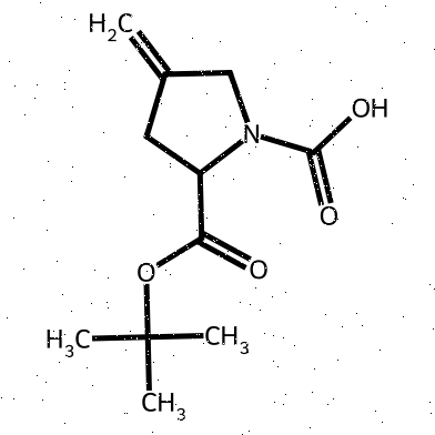 C=C1CC(C(=O)OC(C)(C)C)N(C(=O)O)C1